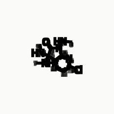 CNN1C(=O)C(NC)(NC)c2ccc(Cl)nc21